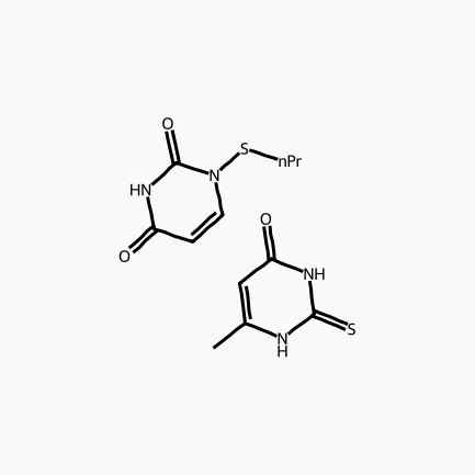 CCCSn1ccc(=O)[nH]c1=O.Cc1cc(=O)[nH]c(=S)[nH]1